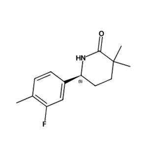 Cc1ccc([C@@H]2CCC(C)(C)C(=O)N2)cc1F